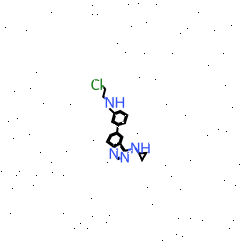 ClCCNCc1cccc(-c2ccc3ncnc(NC4CC4)c3c2)c1